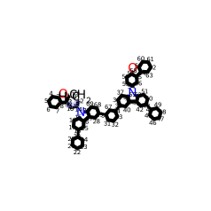 C=c1oc2ccccc2/c1=C/C(=C\C)n1c2ccc(-c3ccccc3)cc2c2cc(-c3cccc(-c4ccc5c(c4)c4cc(-c6ccccc6)ccc4n5-c4ccc5oc6ccccc6c5c4)c3)ccc21